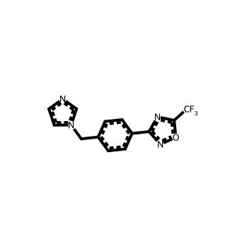 FC(F)(F)c1nc(-c2ccc(Cn3ccnc3)cc2)no1